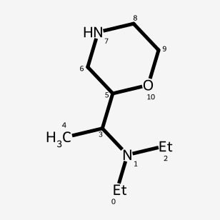 CCN(CC)C(C)C1CNCCO1